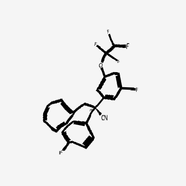 N#C[C@](Cc1ccccc1)(c1ccc(F)cc1)c1cc(F)cc(OC(F)(F)C(F)F)c1